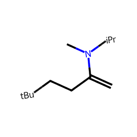 C=C(CCC(C)(C)C)N(C)C(C)C